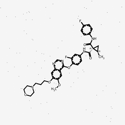 COc1cc2c(Oc3ccc(NC(=O)[C@]4(C(=O)Nc5ccc(F)cc5)C[C@H]4C)cc3F)ncnc2cc1OCCCN1CCOCC1